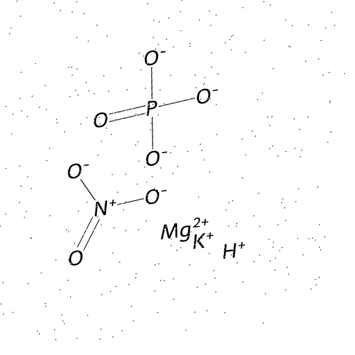 O=P([O-])([O-])[O-].O=[N+]([O-])[O-].[H+].[K+].[Mg+2]